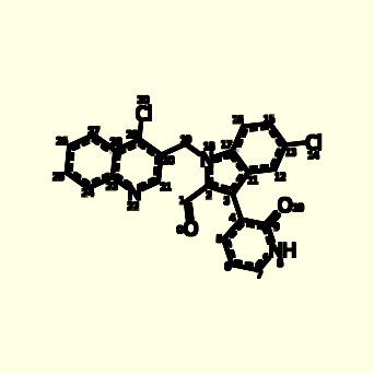 O=Cc1c(-c2ccc[nH]c2=O)c2cc(Cl)ccc2n1Cc1cnc2ccccc2c1Cl